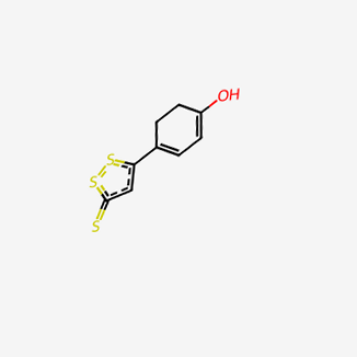 OC1=CC=C(c2cc(=S)ss2)CC1